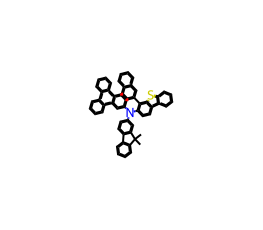 CC1(C)c2ccccc2-c2ccc(N(c3ccc4c5ccccc5c5ccccc5c4c3)c3ccc4c(sc5ccccc54)c3-c3ccc4ccccc4c3)cc21